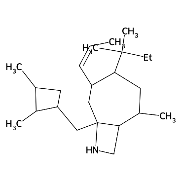 C/C=C\C1CC2(CC3CC(C)C3C)NCC2C(C)CC1C(C)(C)CC